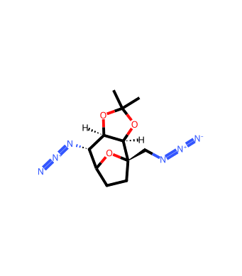 CC1(C)O[C@H]2[C@@H](O1)[C@]1(CN=[N+]=[N-])CCC(O1)[C@@H]2N=[N+]=[N-]